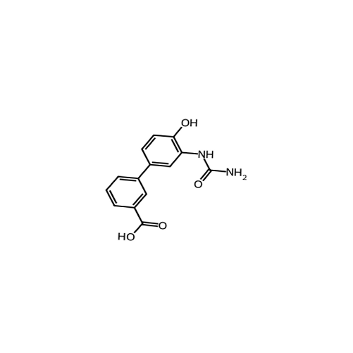 NC(=O)Nc1cc(-c2cccc(C(=O)O)c2)ccc1O